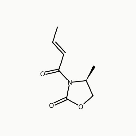 C/C=C/C(=O)N1C(=O)OC[C@@H]1C